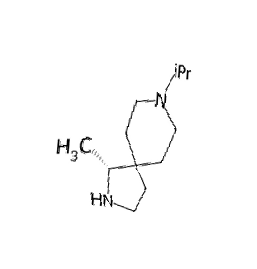 CC(C)N1CCC2(CCN[C@@H]2C)CC1